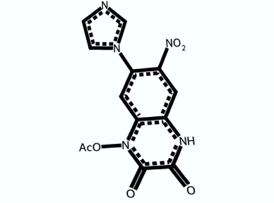 CC(=O)On1c(=O)c(=O)[nH]c2cc([N+](=O)[O-])c(-n3ccnc3)cc21